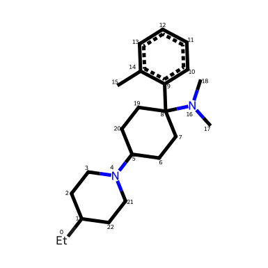 CCC1CCN(C2CCC(c3ccccc3C)(N(C)C)CC2)CC1